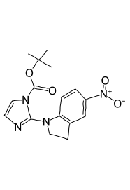 CC(C)(C)OC(=O)n1ccnc1N1CCc2cc([N+](=O)[O-])ccc21